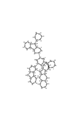 c1ccc(-c2nc(-c3ccc4c(c3)c3ccccc3n4-c3ccccc3)nc(-c3ccc4oc5ccccc5c4c3-n3c4ccccc4c4cc5ccccc5cc43)n2)cc1